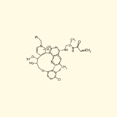 C=CC(=O)N[C@H](C)CNc1nc(=O)n2c3nc(c(C)cc13)-c1c(ccc(Cl)c1F)OCC(O)C(OCC)C1=C2[C@@H](C)N(CC(C)C)C=C1